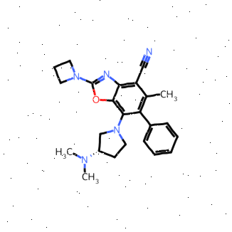 Cc1c(-c2ccccc2)c(N2CC[C@H](N(C)C)C2)c2oc(N3CCC3)nc2c1C#N